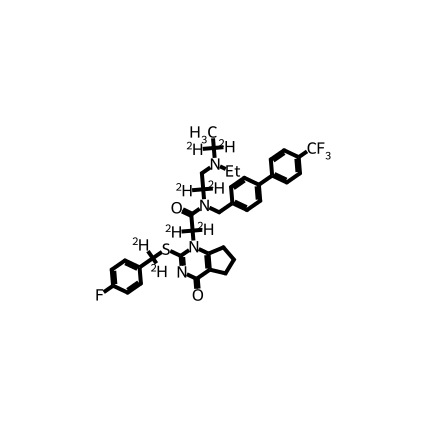 [2H]C([2H])(Sc1nc(=O)c2c(n1C([2H])([2H])C(=O)N(Cc1ccc(-c3ccc(C(F)(F)F)cc3)cc1)C([2H])([2H])CN(CC)C([2H])([2H])C)CCC2)c1ccc(F)cc1